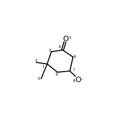 CC1(C)CC(=O)CC([O])C1